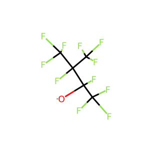 [O]C(F)(C(F)(F)F)C(F)(C(F)(F)F)C(F)(F)F